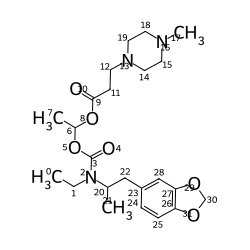 CCN(C(=O)OC(C)OC(=O)CCN1CCN(C)CC1)C(C)Cc1ccc2c(c1)OCO2